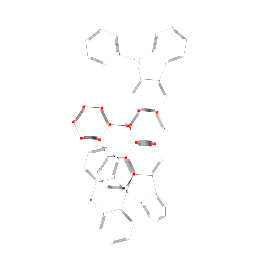 CC1(C)c2ccccc2C2(c3ccccc3-c3ccc(N(c4ccc5c6ccccc6n(-c6ccccc6)c5c4)c4ccccc4-c4ccccc4-c4ccccc4-c4ccccc4)cc32)c2ccccc21